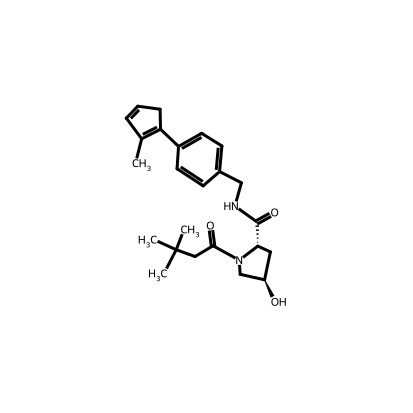 CC1=C(c2ccc(CNC(=O)[C@@H]3C[C@@H](O)CN3C(=O)CC(C)(C)C)cc2)CC=C1